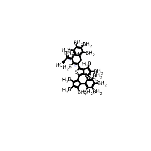 BC1=C(B)C(c2c(B)c(B)c(B)c(B)c2B)C(c2sc(/C(Cc3c(B)c(B)c(B)c(B)c3B)=C(B)/C(B)=C(/B)C#C)c3c2C(B)C(B)=C3B)=C1B